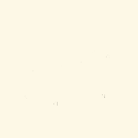 C=CC(=O)Cc1cnccc1-c1cccc(Cl)c1Cl